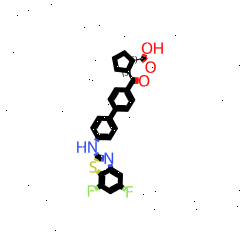 O=C(O)[C@H]1CCC[C@@H]1C(=O)c1ccc(-c2ccc(Nc3nc4cc(F)cc(F)c4s3)cc2)cc1